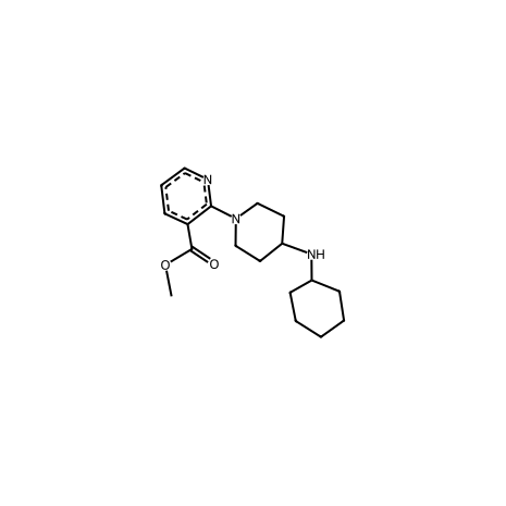 COC(=O)c1cccnc1N1CCC(NC2CCCCC2)CC1